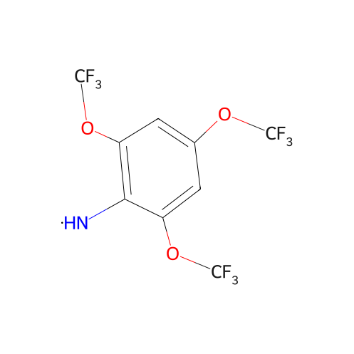 [NH]c1c(OC(F)(F)F)cc(OC(F)(F)F)cc1OC(F)(F)F